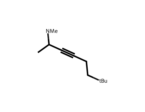 CNC(C)C#CCCC(C)(C)C